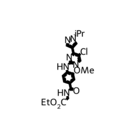 CCOC(=O)CNC(=O)c1ccc(Nc2ncc(Cl)c(-c3cnn(C(C)C)c3)n2)c(OC)c1